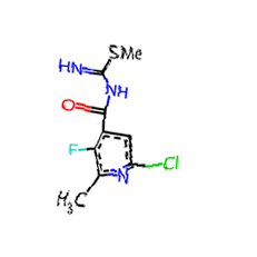 CSC(=N)NC(=O)c1cc(Cl)nc(C)c1F